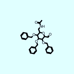 CC(=O)NCC1OC(C=O)C(OCc2ccccc2)C(OCc2ccccc2)C1OCc1ccccc1